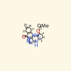 COCOc1cccc(Nc2nnn(C(=O)c3cccc(C)c3)c2N)c1